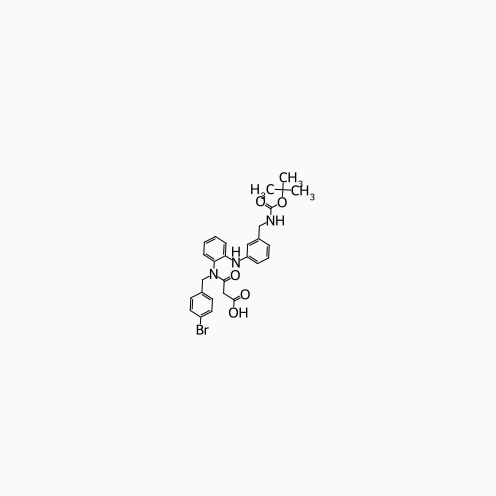 CC(C)(C)OC(=O)NCc1cccc(Nc2ccccc2N(Cc2ccc(Br)cc2)C(=O)CC(=O)O)c1